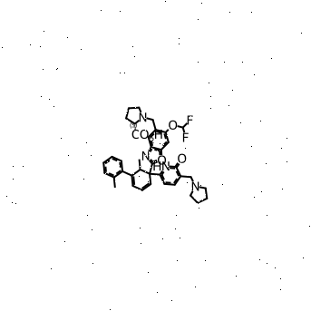 Cc1ccccc1C1=CC=CC(c2ccc(CN3CCCC3)c(=O)[nH]2)(c2nc3cc(CN4CCC[C@H]4C(=O)O)c(OC(F)F)cc3o2)C1C